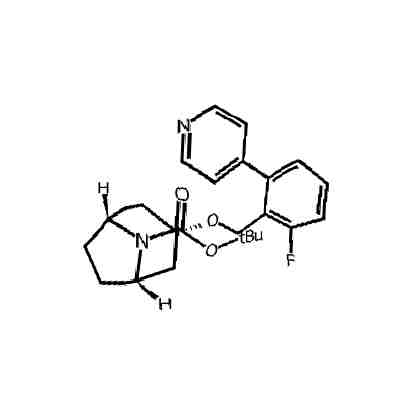 CC(C)(C)OC(=O)N1[C@@H]2CC[C@H]1C[C@@H](OCc1c(F)cccc1-c1ccncc1)C2